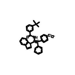 CC(C)(C)c1cccc(C(=O)[NH][Hf+2]([CH]2C=Cc3ccccc32)[SiH](c2ccccc2)c2ccccc2)c1.[Cl-].[Cl-]